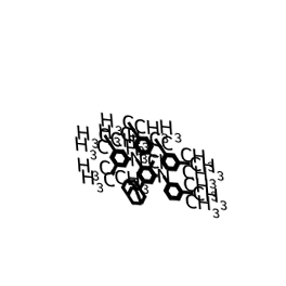 CC(C)(C)c1cccc(N(c2cc(C(C)(C)C)cc(C(C)(C)C)c2)c2cc(C34CC5CC(CC(C5)C3)C4)cc(N(c3cccc(C(C)(C)C)c3)c3cc(C(C)(C)C)cc(C(C)(C)C)c3)c2Cl)c1